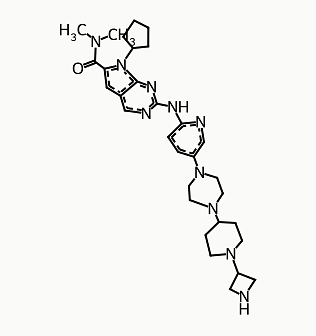 CN(C)C(=O)c1cc2cnc(Nc3ccc(N4CCN(C5CCN(C6CNC6)CC5)CC4)cn3)nc2n1C1CCCC1